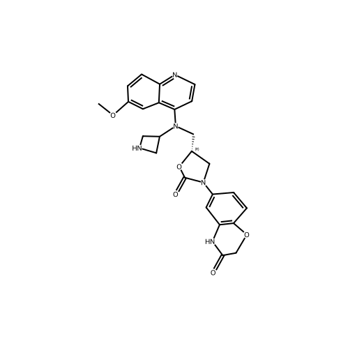 COc1ccc2nccc(N(C[C@@H]3CN(c4ccc5c(c4)NC(=O)CO5)C(=O)O3)C3CNC3)c2c1